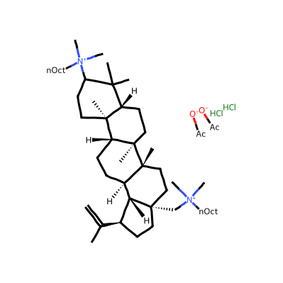 C=C(C)[C@@H]1CC[C@]2(C[N+](C)(C)CCCCCCCC)CC[C@]3(C)[C@H](CC[C@@H]4[C@@]5(C)CCC([N+](C)(C)CCCCCCCC)C(C)(C)[C@@H]5CC[C@]43C)[C@@H]12.CC(=O)[O-].CC(=O)[O-].Cl.Cl